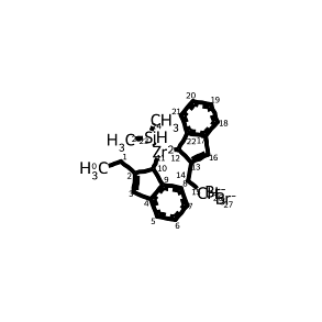 CCC1=Cc2ccccc2[CH]1[Zr+2]([CH]1C(CC)=Cc2ccccc21)[SiH](C)C.[Br-].[Br-]